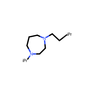 CC(C)CCN1CCCN(C(C)C)CC1